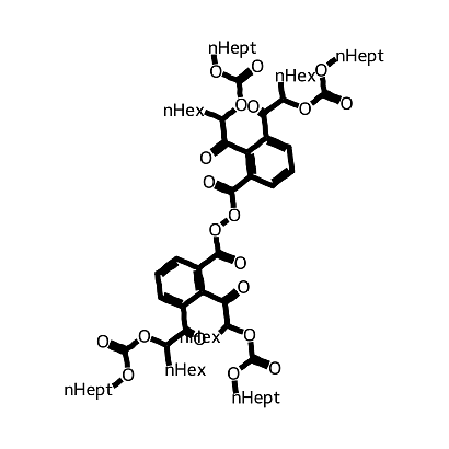 CCCCCCCOC(=O)OC(CCCCCC)C(=O)c1cccc(C(=O)OOC(=O)c2cccc(C(=O)C(CCCCCC)OC(=O)OCCCCCCC)c2C(=O)C(CCCCCC)OC(=O)OCCCCCCC)c1C(=O)C(CCCCCC)OC(=O)OCCCCCCC